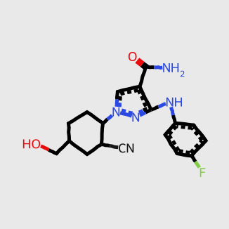 N#CC1CC(CO)CCC1n1cc(C(N)=O)c(Nc2ccc(F)cc2)n1